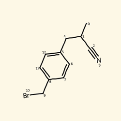 CC(C#N)Cc1ccc(CBr)cc1